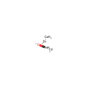 [Cd].[GaH3].[O]=[InH].[Zn]